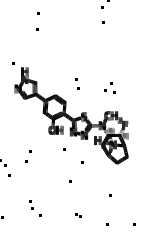 CN1C2CCC1[C@@H](F)[C@@H](N(C)c1nnc(-c3ccc(-c4cn[nH]c4)cc3O)s1)C2